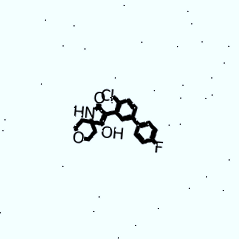 O=C1NC2(CCOCC2)C(O)=C1c1cc(-c2ccc(F)cc2)ccc1Cl